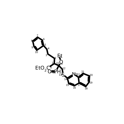 CCOC(=O)C(CCCc1ccccc1)C(CSc1ccc2ccccc2n1)(OCC)[PH2]=O